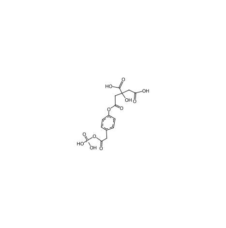 O=C(O)CC(O)(CC(=O)Oc1ccc(CC(=O)OP(=O)(O)O)cc1)C(=O)O